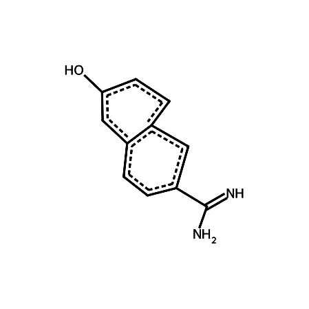 N=C(N)c1ccc2cc(O)ccc2c1